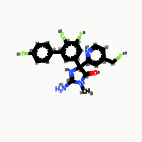 CN1C(=O)C(c2cc(F)c(F)c(-c3ccc(F)cc3)c2)(c2cc(CF)ccn2)N=C1N